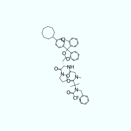 CN(CC(=O)N[C@@H](CC(=O)OC(c1ccccc1)(c1ccc(C2CCCCCCC2)cc1)c1ccccc1Cl)C(=O)N1CCCC1)C(=O)C(C)(C)N(Cc1ccccc1)C(=O)C(F)(F)F